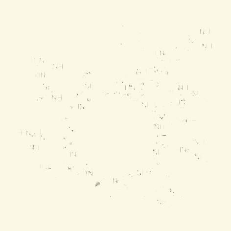 N=C(N)NCCC[C@H](NC(=O)[C@@H]1CSSC[C@H](NC(=O)[C@H](Cc2ccc3ccccc3c2)NC(=O)[C@H](CCCNC(=N)N)NC(=O)[C@@H](N)CCCNC(=N)N)C(=O)N[C@@H](Cc2ccc(O)cc2)C(=O)N[C@@H](CCCNC(=N)N)C(=O)N[C@@H](CCCCN)C(=O)N[C@H](CCCCN)C(=O)N2CCC[C@H]2C(=O)N[C@@H](Cc2ccc(O)cc2)C(=O)N[C@@H](CCCNC(=N)N)C(=O)N[C@@H](CCCNC(N)=O)C(=O)N1)C(=O)O